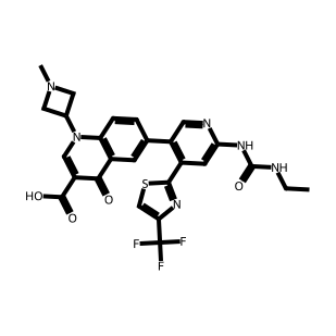 CCNC(=O)Nc1cc(-c2nc(C(F)(F)F)cs2)c(-c2ccc3c(c2)c(=O)c(C(=O)O)cn3C2CN(C)C2)cn1